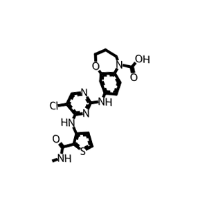 CNC(=O)c1sccc1Nc1nc(Nc2ccc3c(c2)OCCCN3C(=O)O)ncc1Cl